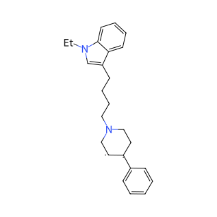 CCn1cc(CCCCN2C[CH][C](c3ccccc3)CC2)c2ccccc21